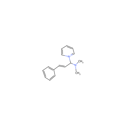 CN(C)C(/C=C/c1ccccc1)[n+]1ccccc1